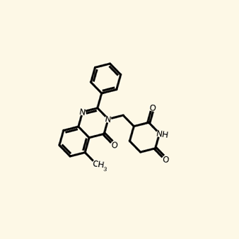 Cc1cccc2nc(-c3ccccc3)n(CC3CCC(=O)NC3=O)c(=O)c12